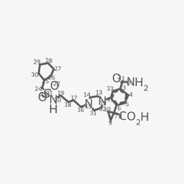 NC(=O)c1ccc(C2(C(=O)O)CC2)c(N2CCN(CCCCNS(=O)(=O)CC3CCCCC3)CC2)c1